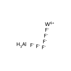 [AlH3].[F-].[F-].[F-].[F-].[F-].[F-].[W+6]